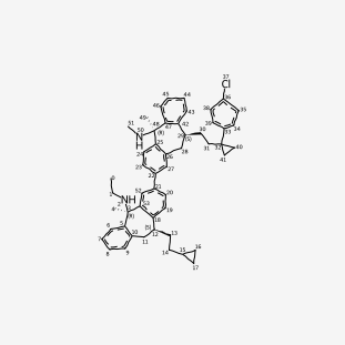 CCN[C@]1(C)c2ccccc2C[C@H](CCC2CC2)c2ccc(-c3ccc4c(c3)C[C@H](CCC3(c5ccc(Cl)cc5)CC3)c3ccccc3[C@]4(C)NC)cc21